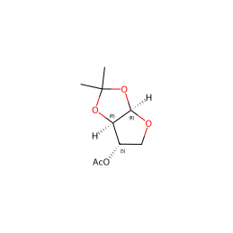 CC(=O)O[C@H]1CO[C@@H]2OC(C)(C)O[C@@H]21